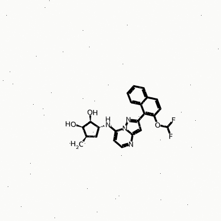 [CH2][C@@H]1C[C@@H](Nc2ccnc3cc(-c4c(OC(F)F)ccc5ccccc45)nn23)[C@H](O)[C@@H]1O